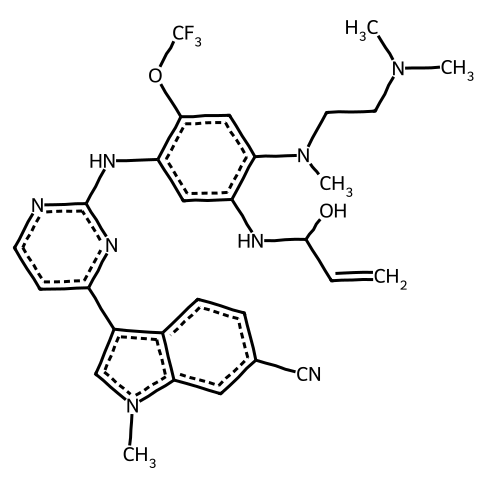 C=CC(O)Nc1cc(Nc2nccc(-c3cn(C)c4cc(C#N)ccc34)n2)c(OC(F)(F)F)cc1N(C)CCN(C)C